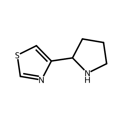 c1nc(C2CCCN2)cs1